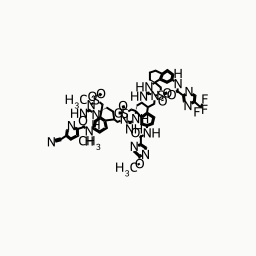 COc1cnc(C(=O)Nc2ccc3c(c2)[C@]2(CCC3CN3C(=N)N[C@@]4(CCCc5ccc(NC(=O)c6cnc(C(F)(F)F)cn6)cc54)CS3(=O)=O)CS(=O)(=O)N(CC3CC[C@]4(CS(=O)(=O)N(C)C(=N)N4)c4cc(NC(=O)c5ncc(C#N)cc5C)ccc43)C(=N)N2)cn1